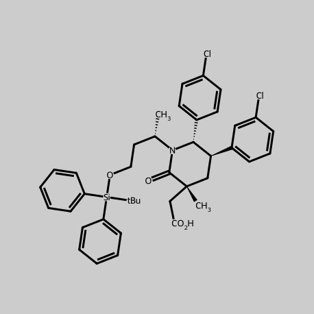 C[C@@H](CCO[Si](c1ccccc1)(c1ccccc1)C(C)(C)C)N1C(=O)[C@@](C)(CC(=O)O)C[C@H](c2cccc(Cl)c2)[C@H]1c1ccc(Cl)cc1